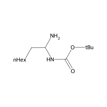 CCCCCCCC(N)NC(=O)OC(C)(C)C